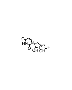 O=c1ccn([C@@H]2C[C@H](CO)C(O)C2O)c(=O)[nH]1